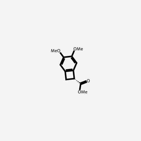 COC(=O)[C@@H]1Cc2cc(OC)c(OC)cc21